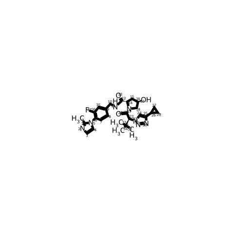 Cc1nccn1-c1ccc(CNC(=O)[C@@H]2C[C@@H](O)CN2C(=O)[C@@H](n2cc(C3CC3)nn2)C(C)(C)C)cc1F